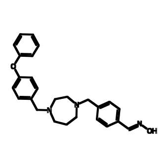 O/N=C/c1ccc(CN2CCCN(Cc3ccc(Oc4ccccc4)cc3)CC2)cc1